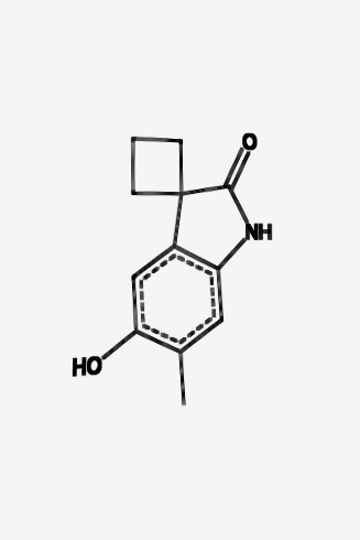 Cc1cc2c(cc1O)C1(CCC1)C(=O)N2